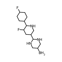 BC1CNC(C2CNC(C3CCC(F)CC3)C(F)C2)NC1